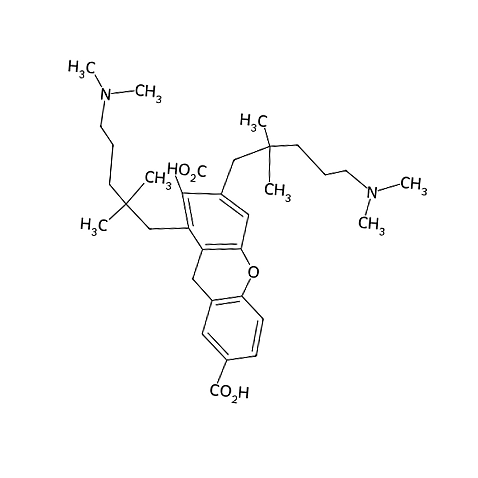 CN(C)CCCC(C)(C)Cc1cc2c(c(CC(C)(C)CCCN(C)C)c1C(=O)O)Cc1cc(C(=O)O)ccc1O2